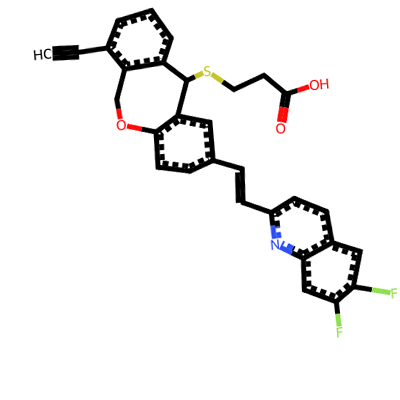 C#Cc1cccc2c1COc1ccc(/C=C/c3ccc4cc(F)c(F)cc4n3)cc1C2SCCC(=O)O